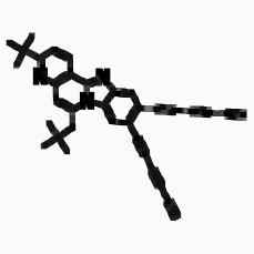 C#CC#CC#Cc1cc2nc3c4ccc(C(C)(C)C)nc4cc(CC(C)(C)C)n3c2cc1C#CC#CC#C